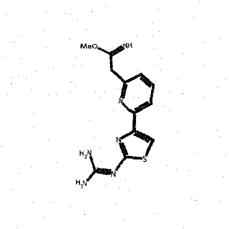 COC(=N)Cc1cccc(-c2csc(N=C(N)N)n2)n1